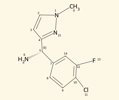 Cn1ccc([C@@H](N)c2ccc(Cl)c(F)c2)n1